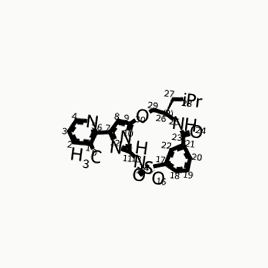 Cc1cccnc1-c1cc2nc(n1)NS(=O)(=O)c1cccc(c1)C(=O)N[C@H](CC(C)C)CO2